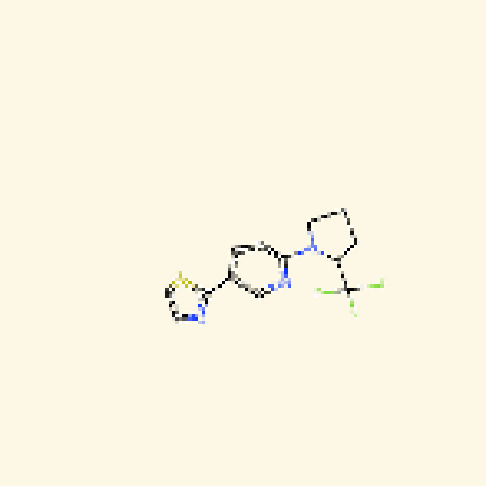 FC(F)(F)C1CCCN1c1ccc(-c2nccs2)cn1